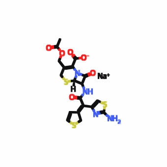 CC(=O)OCC1=C(C(=O)[O-])N2C(=O)C(NC(=O)/C(=C3\C=CSC3)c3csc(N)n3)[C@@H]2SC1.[Na+]